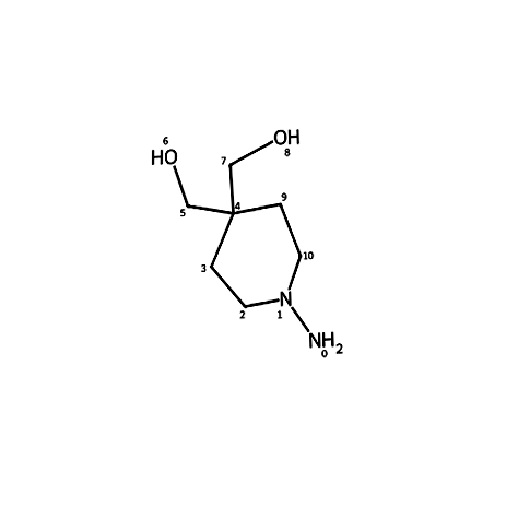 NN1CCC(CO)(CO)CC1